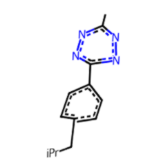 Cc1nnc(-c2ccc(CC(C)C)cc2)nn1